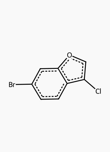 Clc1coc2cc(Br)ccc12